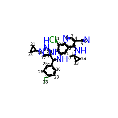 CC1(Nc2c(C#N)cnc3c(Cl)cc(NC(C4=CN(C5CC5)NN4)c4ccc(F)cc4)cc23)CC1